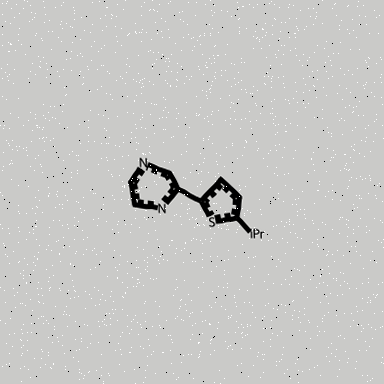 CC(C)c1ccc(-c2cnccn2)s1